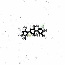 [2H]c1cc2c(sc3c([2H])c([2H])c([2H])c([2H])c32)c([2H])c1-c1c([2H])c([2H])c([2H])c(Cl)c1[2H]